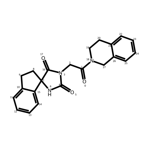 O=C(CN1C(=O)NC2(CCc3ccccc32)C1=O)N1CCc2ccccc2C1